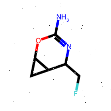 NC1=NC(CF)C2CC2O1